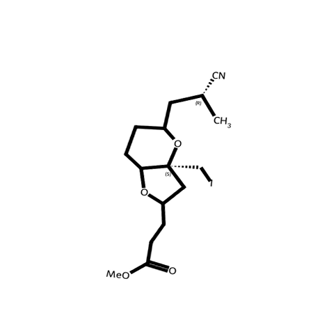 COC(=O)CCC1C[C@]2(CI)OC(C[C@@H](C)C#N)CCC2O1